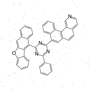 c1ccc(-c2nc(-c3cc4ccc5ccncc5c4c4ccccc34)nc(-c3c4ccccc4cc4oc5ccccc5c34)n2)cc1